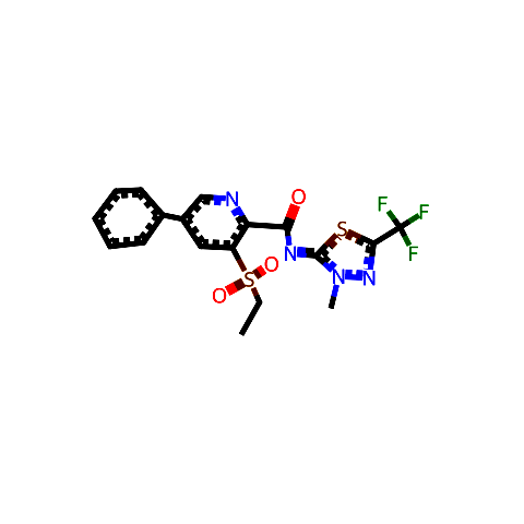 CCS(=O)(=O)c1cc(-c2ccccc2)cnc1C(=O)N=c1sc(C(F)(F)F)nn1C